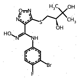 CC(C)(O)[C@@H](O)CSc1nonc1/C(=N\O)Nc1ccc(F)c(Br)c1